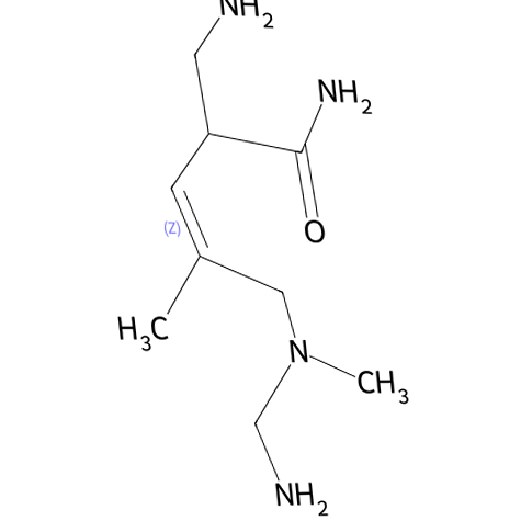 C/C(=C/C(CN)C(N)=O)CN(C)CN